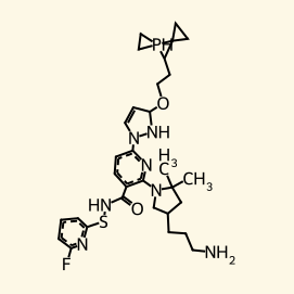 CC1(C)CC(CCCN)CN1c1nc(N2C=CC(OCCC3C4(CC4)[PH]34CC4)N2)ccc1C(=O)NSc1cccc(F)n1